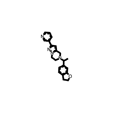 CC(c1ccc2c(c1)OCC2)N1CCn2nc(-c3cccnc3)cc2C1